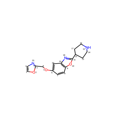 c1coc(COc2ccc3oc(C4CCNCC4)nc3c2)n1